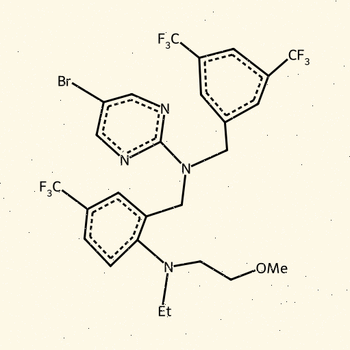 CCN(CCOC)c1ccc(C(F)(F)F)cc1CN(Cc1cc(C(F)(F)F)cc(C(F)(F)F)c1)c1ncc(Br)cn1